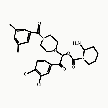 Cc1cc(C)cc(C(=O)N2CCN(C(OC(=O)N3CCCCC3N)C(=O)c3ccc(Cl)c(Cl)c3)CC2)c1